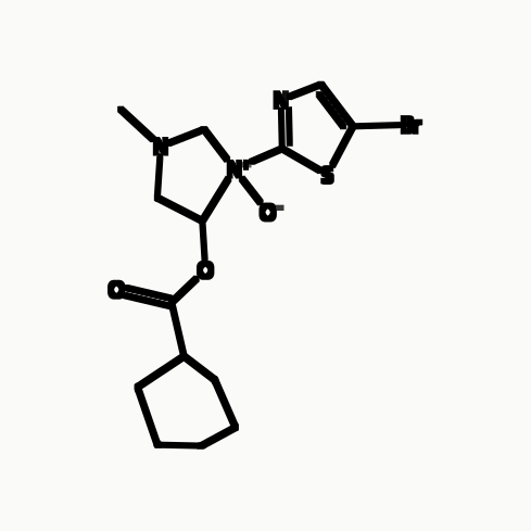 CN1CC(OC(=O)C2CCCCC2)[N+]([O-])(c2ncc(Br)s2)C1